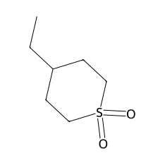 CCC1CCS(=O)(=O)CC1